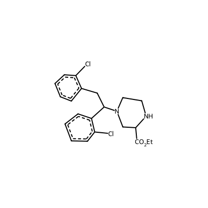 CCOC(=O)C1CN(C(Cc2ccccc2Cl)c2ccccc2Cl)CCN1